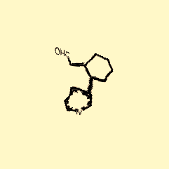 O=CC=C1CCCCC1c1cccnc1